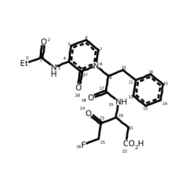 CCC(=O)Nc1cccn(C(Cc2ccccc2)C(=O)NC(CC(=O)O)C(=O)CF)c1=O